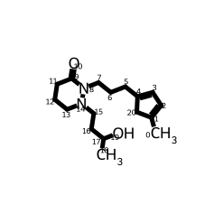 CC1=CC=C(CCCN2C(=O)CCCN2CCC(C)O)C1